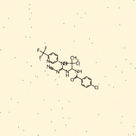 CC(Cl)(Cl)C(NC(=O)c1ccc(Cl)cc1)N/C(=N/C#N)Nc1ccc(C(F)(F)F)nc1